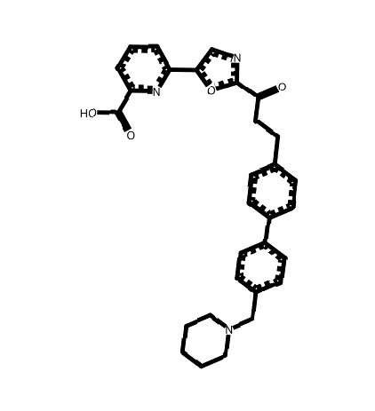 O=C(O)c1cccc(-c2cnc(C(=O)CCc3ccc(-c4ccc(CN5CCCCC5)cc4)cc3)o2)n1